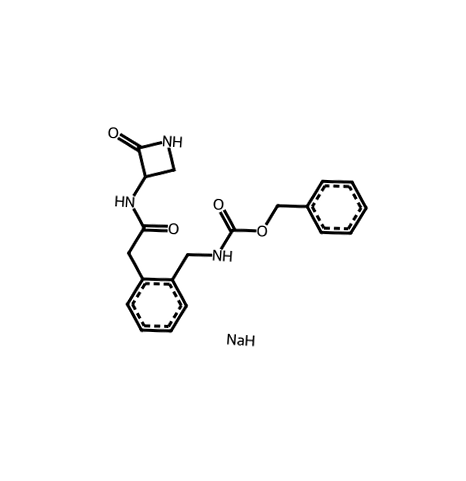 O=C(Cc1ccccc1CNC(=O)OCc1ccccc1)NC1CNC1=O.[NaH]